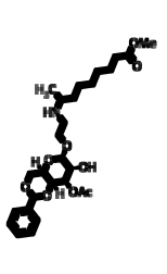 COC(=O)CCCCCCC(C)NCCO[C@@H]1O[C@@H]2COC(c3ccccc3)O[C@@H]2[C@H](OC(C)=O)[C@H]1O